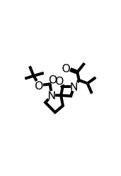 CC(=O)C(C(C)C)N1CC2(CCCN2C(=O)OC(C)(C)C)C1=O